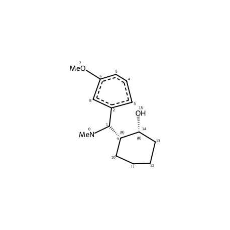 CNC(c1cccc(OC)c1)[C@H]1CCCC[C@H]1O